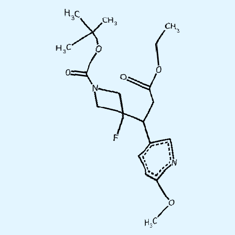 CCOC(=O)CC(c1ccc(OC)nc1)C1(F)CN(C(=O)OC(C)(C)C)C1